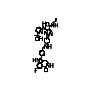 C=CCNC(=O)c1cnc(N2CCC(NCc3ccc(-c4[nH]c5cc(F)cc6c5c4CCNC6=O)cc3)CC2)nc1Nc1cccc(C(C)(C)O)n1